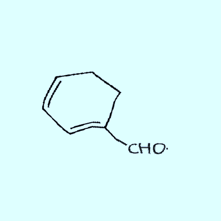 O=[C]C1=CC=CCC1